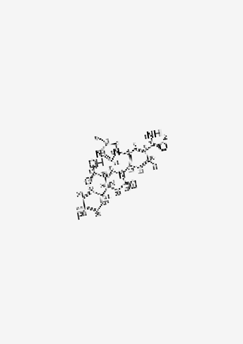 Cc1cn(-c2cc(C(N)=O)c(C)cc2N2C=C(C(=O)O)[C@H](c3ccc(F)cc3)CC2=O)cn1